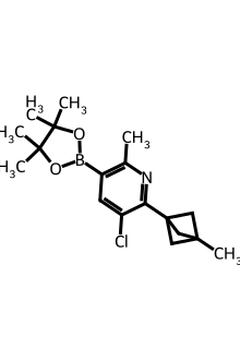 Cc1nc(C23CC(C)(C2)C3)c(Cl)cc1B1OC(C)(C)C(C)(C)O1